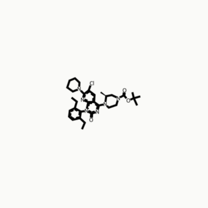 CCc1cccc(CC)c1-n1c(=O)nc(N2CCN(C(=O)OC(C)(C)C)C[C@@H]2C)c2cc(Cl)c(N3CCCCC3)nc21